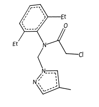 CCc1cccc(CC)c1N(Cn1cc(C)cn1)C(=O)CCl